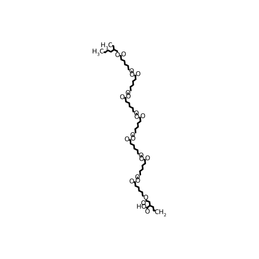 C=CCC(CC(=O)OCCCCCC(=O)OOCCCCCC(=O)OOCCCCCC(=O)OOCCCCCC(=O)OOCCCCCC(=O)OOCCCCCC(=O)OOCCCCCC(=O)OCC(CC)CCCC)C(=O)O